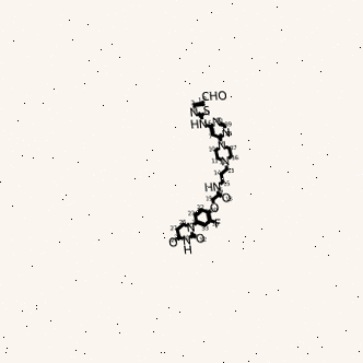 O=Cc1cnc(Nc2cc(N3CCN(CCCNC(=O)COc4ccc(N5CCC(=O)NC5=O)cc4F)CC3)ncn2)s1